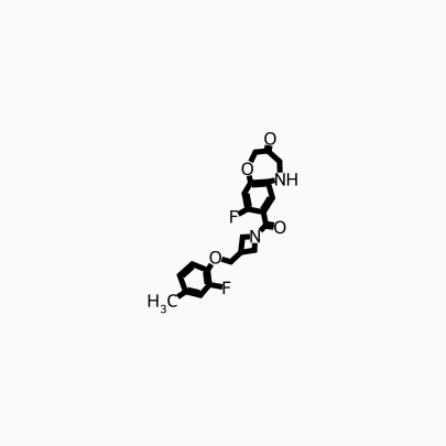 Cc1ccc(OCC2CN(C(=O)c3cc4c(cc3F)OCC(=O)CN4)C2)c(F)c1